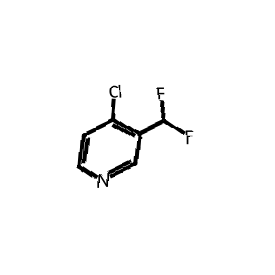 FC(F)c1cnccc1Cl